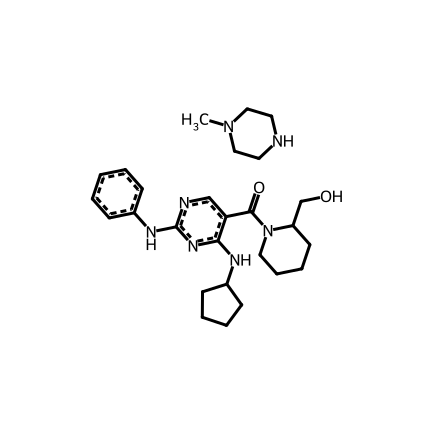 CN1CCNCC1.O=C(c1cnc(Nc2ccccc2)nc1NC1CCCC1)N1CCCCC1CO